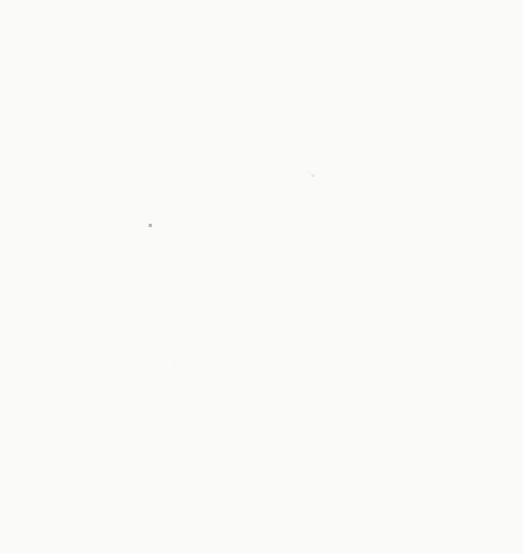 C1CCCCCSSSCCCCCCSCCCC1